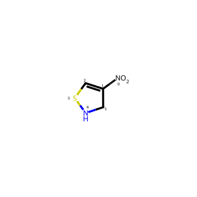 O=[N+]([O-])C1=[C]SNC1